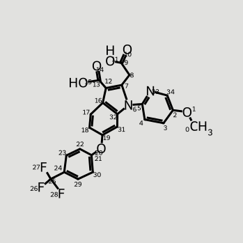 COc1ccc(-n2c(CC(=O)O)c(C(=O)O)c3ccc(Oc4ccc(C(F)(F)F)cc4)cc32)nc1